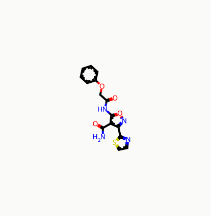 NC(=O)c1c(-c2nccs2)noc1NC(=O)COc1ccccc1